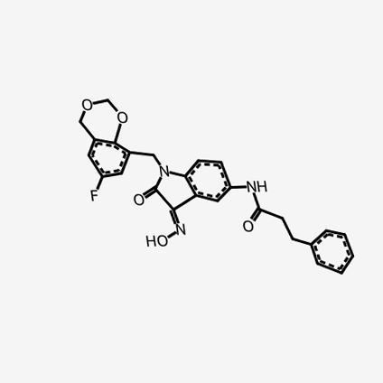 O=C(CCc1ccccc1)Nc1ccc2c(c1)/C(=N/O)C(=O)N2Cc1cc(F)cc2c1OCOC2